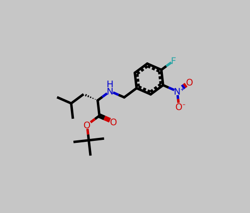 CC(C)C[C@H](NCc1ccc(F)c([N+](=O)[O-])c1)C(=O)OC(C)(C)C